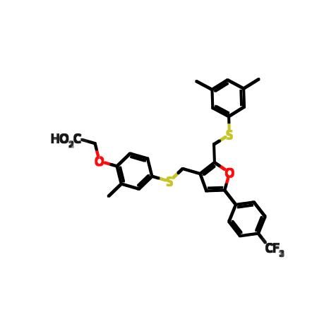 Cc1cc(C)cc(SCc2oc(-c3ccc(C(F)(F)F)cc3)cc2CSc2ccc(OCC(=O)O)c(C)c2)c1